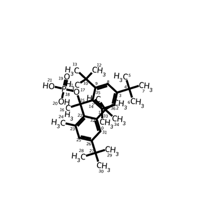 Cc1cc(C(C)(C)C)cc(C(C)(C)C)c1C(C)(OP(=O)(O)O)c1c(C)cc(C(C)(C)C)cc1C(C)(C)C